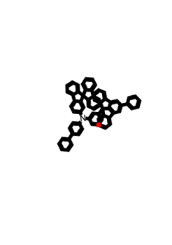 c1ccc(-c2ccc(N(c3cccc(C45c6ccccc6-c6cc(-c7ccccc7)cc(c64)-c4ccccc45)c3)c3ccc4c(c3)C3(c5ccccc5-c5ccccc53)c3ccccc3-4)cc2)cc1